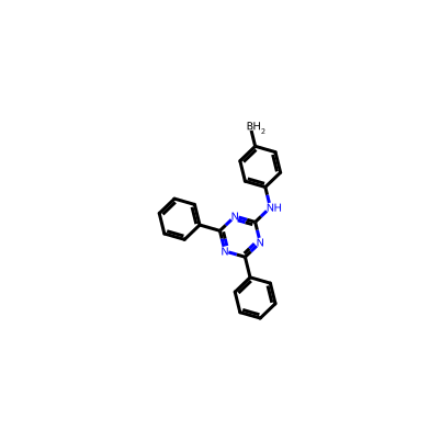 Bc1ccc(Nc2nc(-c3ccccc3)nc(-c3ccccc3)n2)cc1